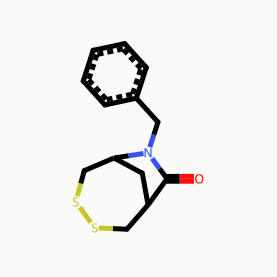 O=C1C2CSSCC(C2)N1Cc1ccccc1